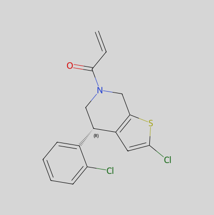 C=CC(=O)N1Cc2sc(Cl)cc2[C@H](c2ccccc2Cl)C1